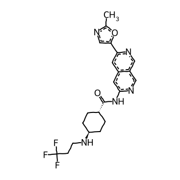 Cc1ncc(-c2cc3cc(NC(=O)[C@H]4CC[C@H](NCCC(F)(F)F)CC4)ncc3cn2)o1